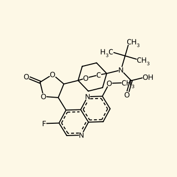 COc1ccc2ncc(F)c(C3OC(=O)OC3C34CCC(N(C(=O)O)C(C)(C)C)(CC3)CO4)c2n1